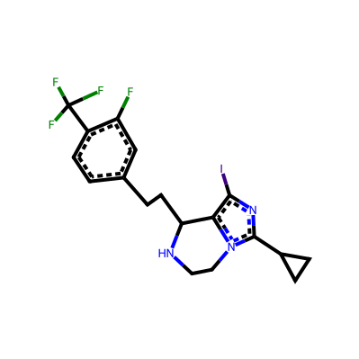 Fc1cc(CCC2NCCn3c(C4CC4)nc(I)c32)ccc1C(F)(F)F